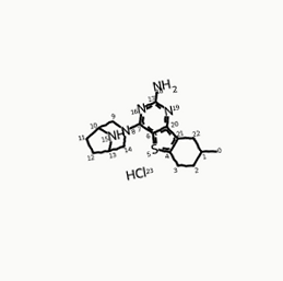 CC1CCc2sc3c(N4CC5CCC(C4)N5)nc(N)nc3c2C1.Cl